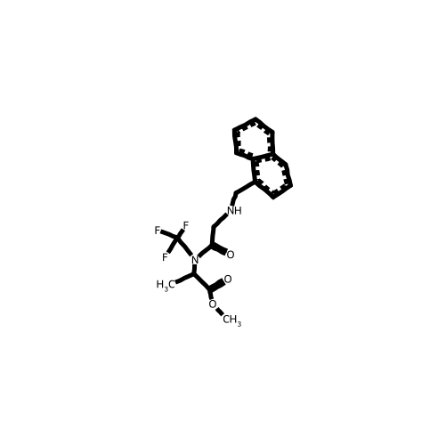 COC(=O)C(C)N(C(=O)CNCc1cccc2ccccc12)C(F)(F)F